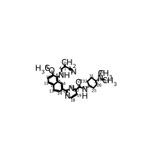 C=C(C#N)CNc1c(OC)ccc2ccc(-c3nccc(C(=O)N[C@H]4CC[C@H](N(C)C)CC4)n3)cc12